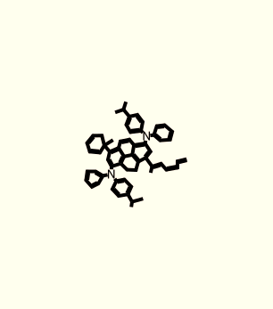 C=C/C=C\C=C(/C)c1cc(N(c2ccccc2)c2ccc(C(C)C)cc2)c2ccc3c(C4(C)C=CC=CC4)cc(N(c4ccccc4)c4ccc(C(C)C)cc4)c4c3c2c1CC4